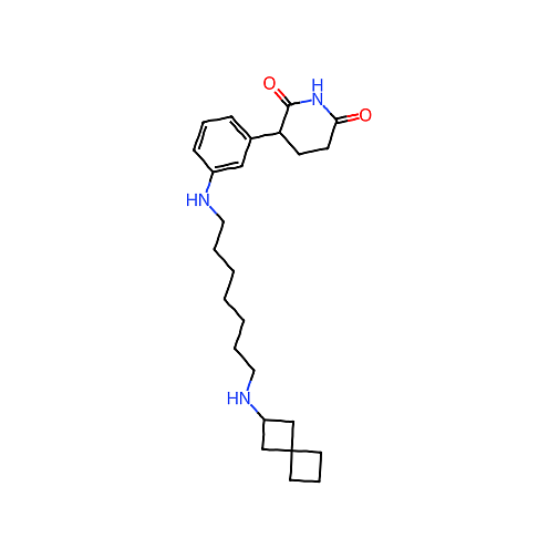 O=C1CCC(c2cccc(NCCCCCCCNC3CC4(CCC4)C3)c2)C(=O)N1